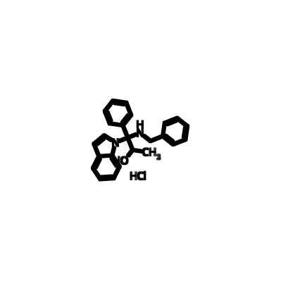 CC(O)C(NCc1ccccc1)(c1ccccc1)n1ccc2ccccc21.Cl